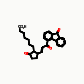 O=C(O)CCCCCCC1C(=O)CCC1C=CC(=O)c1cccc2c1-c1ccccc1C2=O